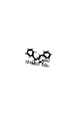 CCC[CH2][Sn]([CH2]CCC)([CH2]CCC)/[C](=C\c1ccccc1)C(OC)c1ccccc1